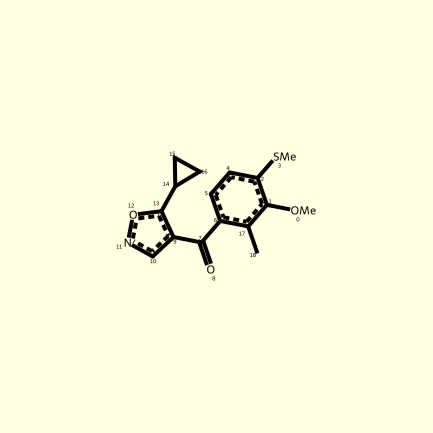 COc1c(SC)ccc(C(=O)c2cnoc2C2CC2)c1C